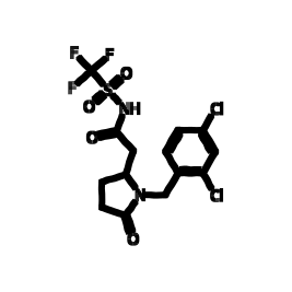 O=C(CC1CCC(=O)N1Cc1ccc(Cl)cc1Cl)NS(=O)(=O)C(F)(F)F